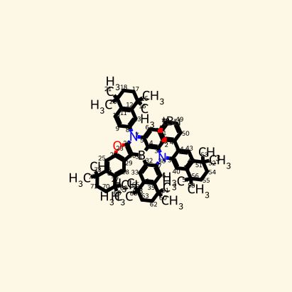 CC(C)(C)c1cc2c3c(c1)N(c1ccc4c(c1)C(C)(C)CCC4(C)C)c1oc4cc5c(cc4c1B3c1cc3c(cc1N2c1cc2c(cc1-c1ccccc1)C(C)(C)CCC2(C)C)C(C)(C)CCC3(C)C)C(C)(C)CCC5(C)C